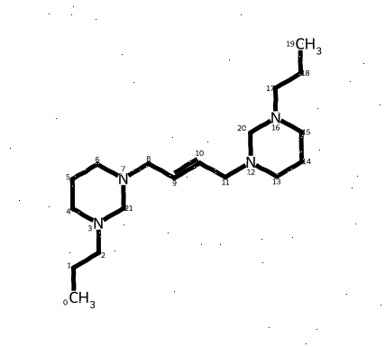 CCCN1CCCN(C/C=C/CN2CCCN(CCC)C2)C1